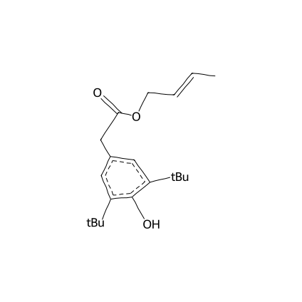 CC=CCOC(=O)Cc1cc(C(C)(C)C)c(O)c(C(C)(C)C)c1